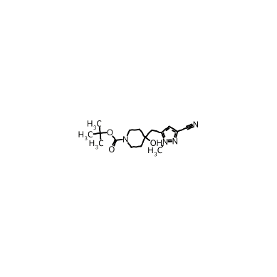 Cn1nc(C#N)cc1CC1(O)CCN(C(=O)OC(C)(C)C)CC1